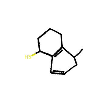 CC1CC=CC2=C1CCCC2S